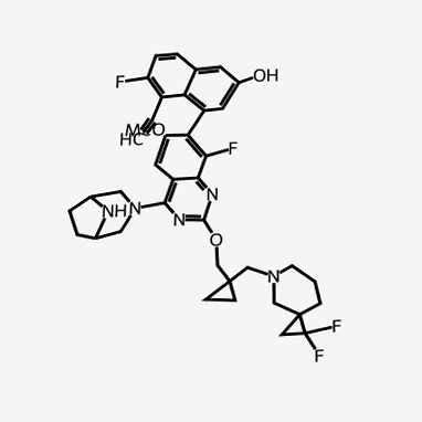 C#Cc1c(F)ccc2cc(O)cc(-c3c(OC)cc4c(N5CC6CCC(C5)N6)nc(OCC5(CN6CCCC7(C6)CC7(F)F)CC5)nc4c3F)c12